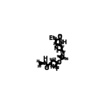 CCc1cc2ncc(CN3C[C@H](Oc4ccc(C(=O)NC5CC5)nc4F)[C@H]3C)cc2[nH]c1=O